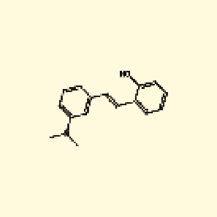 CN(C)c1cccc(/C=C/c2ccccc2O)c1